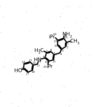 Cc1cc(Cc2cc(C)c(NCc3ccc(O)cc3)c(C(C)C)c2)cc(C(C)C)c1N